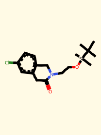 CC(C)(C)[Si](C)(C)OCCN1Cc2ccc(Cl)cc2CC1=O